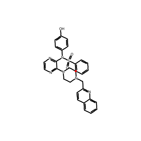 O=S(=O)(c1ccccc1)N(c1ccc(O)cc1)c1nccnc1N1CCN(Cc2ccc3ccccc3n2)CC1